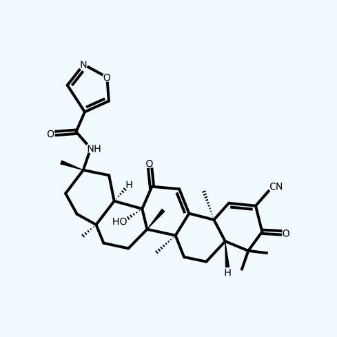 CC1(C)C(=O)C(C#N)=C[C@]2(C)C3=CC(=O)[C@]4(O)[C@@H]5C[C@@](C)(NC(=O)c6cnoc6)CC[C@]5(C)CC[C@@]4(C)[C@]3(C)CC[C@@H]12